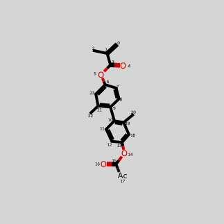 C=C(C)C(=O)Oc1ccc(-c2ccc(OC(=O)C(C)=O)cc2C)c(C)c1